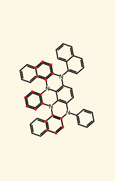 c1ccc(N(c2ccccc2)c2ccc(N(c3ccccc3)c3cccc4ccccc34)c(N(c3ccccc3)c3cccc4ccccc34)c2N(c2ccccc2)c2cccc3ccccc23)cc1